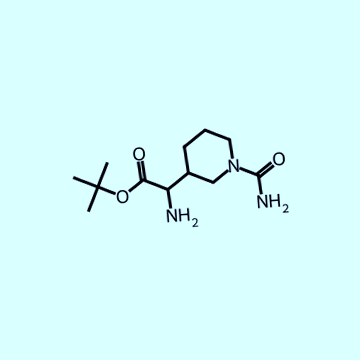 CC(C)(C)OC(=O)C(N)C1CCCN(C(N)=O)C1